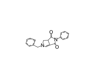 O=C1C2=CN(Cc3ccccc3)CC2C(=O)N1c1ccccc1